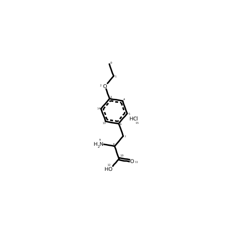 CCOc1ccc(CC(N)C(=O)O)cc1.Cl